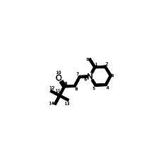 CC1CCCCN1CCC(=O)C(C)(C)C